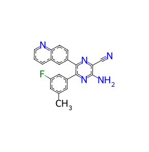 Cc1cc(F)cc(-c2nc(N)c(C#N)nc2-c2ccc3ncccc3c2)c1